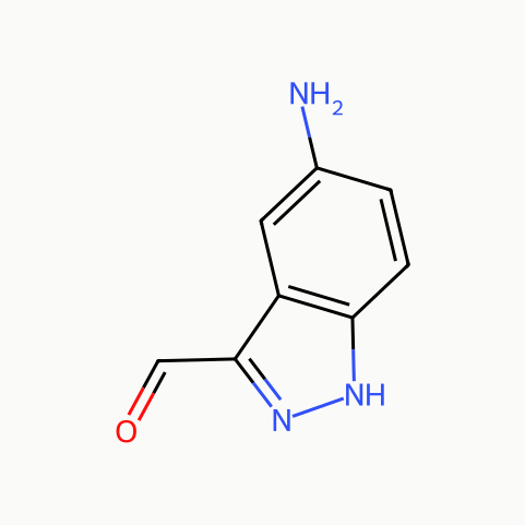 Nc1ccc2[nH]nc(C=O)c2c1